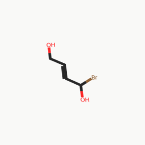 OCC=CC(O)Br